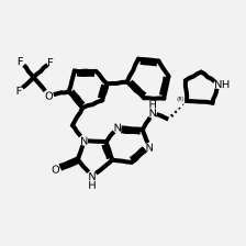 O=c1[nH]c2cnc(NC[C@@H]3CCNC3)nc2n1Cc1cc(-c2ccccc2)ccc1OC(F)(F)F